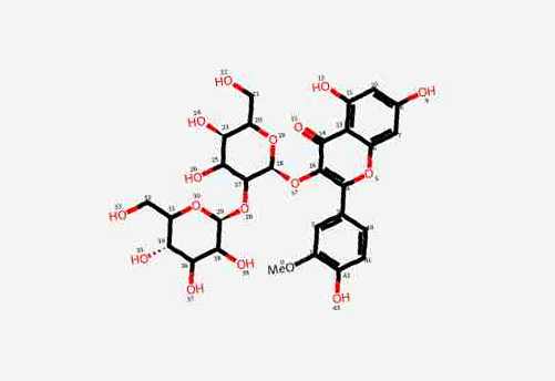 COc1cc(-c2oc3cc(O)cc(O)c3c(=O)c2O[C@@H]2OC(CO)[C@H](O)C(O)C2O[C@@H]2OC(CO)[C@@H](O)C(O)C2O)ccc1O